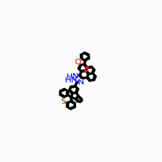 c1ccc2c(c1)Sc1ccccc1C21c2ccccc2-c2cc(C3=NC(c4cccc5ccccc45)=C(c4ccc5c(c4)oc4ccccc45)NN3)ccc21